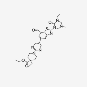 CCOC(=O)C1(CC)CCN(c2ncc(-c3cc(C=O)c4sc(N5CN(C)CN(CC)C5=O)nc4c3)cn2)CC1